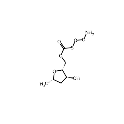 C[C@H]1C[C@@H](O)[C@@H](COC(=O)SOON)O1